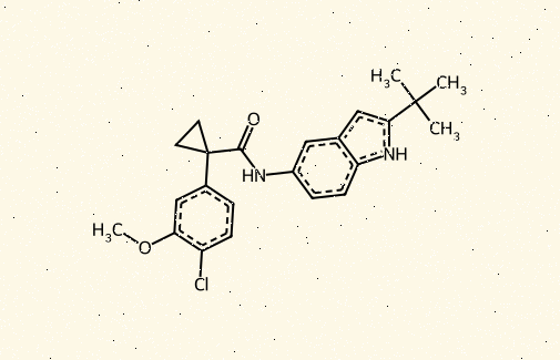 COc1cc(C2(C(=O)Nc3ccc4[nH]c(C(C)(C)C)cc4c3)CC2)ccc1Cl